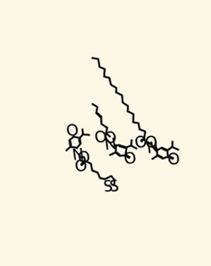 CC1=CC(=O)C(C(C)C)=CC1=NOC(=O)CCCCC1CCSS1.CCC=CCCC(=O)ON=C1C=C(C(C)C)C(=O)C=C1C.CCCCCCCCCCCCCCCCCCC(=O)ON=C1C=C(C(C)C)C(=O)C=C1C